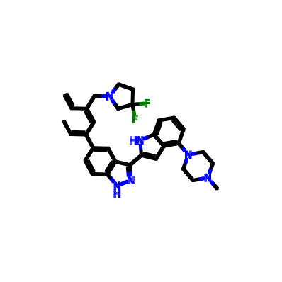 C=C/C(=C\C(=C/C)c1ccc2[nH]nc(-c3cc4c(N5CCN(C)CC5)cccc4[nH]3)c2c1)CN1CCC(F)(F)C1